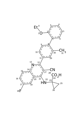 CCOc1ccccc1-c1ccc(-c2nc3ccc(F)cc3c(NC3(C(=O)O)CC3)c2C#N)cc1C